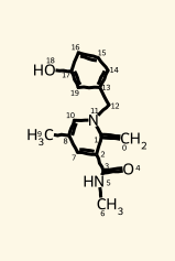 C=C1C(C(=O)NC)=CC(C)=CN1Cc1cccc(O)c1